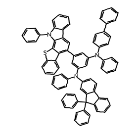 c1ccc(-c2ccc(N(c3ccccc3)c3cc(-c4cc5c6ccccc6n(-c6ccccc6)c5c5sc6ccccc6c45)cc(N(c4ccccc4)c4ccc5c(c4)C(c4ccccc4)(c4ccccc4)c4ccccc4-5)c3)cc2)cc1